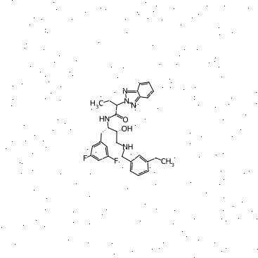 CCc1cccc(CNC[C@@H](O)[C@H](Cc2cc(F)cc(F)c2)NC(=O)C(CC)n2nc3ccccc3n2)c1